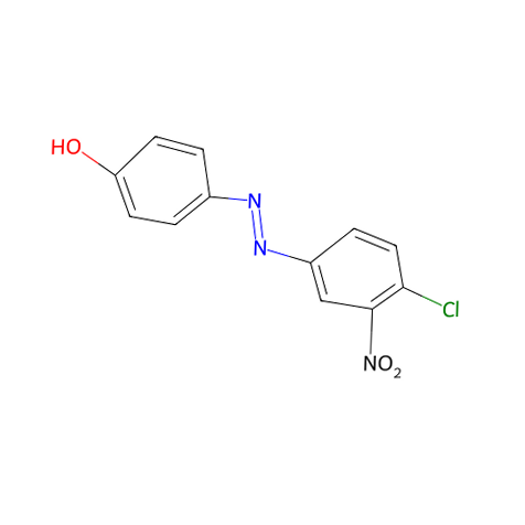 O=[N+]([O-])c1cc(N=Nc2ccc(O)cc2)ccc1Cl